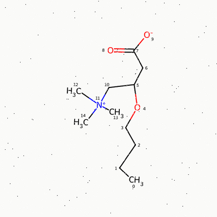 CCCCOC(CC(=O)[O-])C[N+](C)(C)C